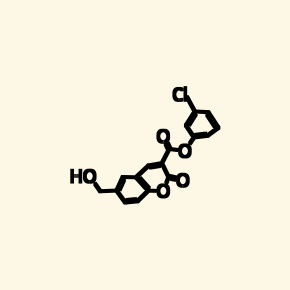 O=C(Oc1cccc(Cl)c1)c1cc2cc(CO)ccc2oc1=O